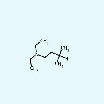 CCN(CC)CCC(C)(C)I